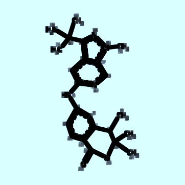 CC1c2nc(Nc3cc4c(C(C)(C)N)nn(C)c4cn3)ccc2C(=O)OC1(C)C